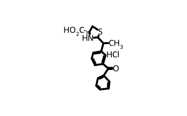 CC(c1cccc(C(=O)c2ccccc2)c1)C1N[C@H](C(=O)O)CS1.Cl